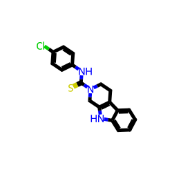 S=C(Nc1ccc(Cl)cc1)N1CCc2c([nH]c3ccccc23)C1